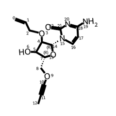 C=CCOC1C(O)[C@@H](COC#CC)O[C@H]1n1ccc(N)nc1=O